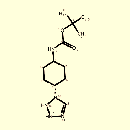 CC(C)(C)OC(=O)N[C@H]1CC[C@H](N2C=NNN2)CC1